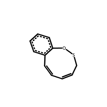 C1=CCSOc2ccccc2C=C1